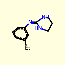 CCc1cccc(N=C2NCCCN2)c1